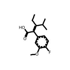 CCC(=C(C(=O)O)c1ccc(F)c(OC)c1)C(C)C